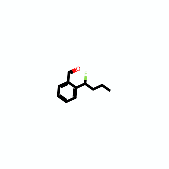 CCCC(F)c1ccccc1C=O